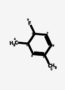 CC1=CC(C)C(F)C=C1